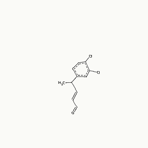 CC(C=CC=O)c1ccc(Cl)c(Cl)c1